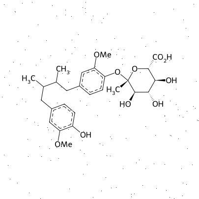 COc1cc(CC(C)C(C)Cc2ccc(O[C@]3(C)O[C@H](C(=O)O)[C@@H](O)[C@H](O)[C@H]3O)c(OC)c2)ccc1O